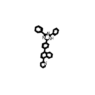 c1ccc(C2=NC(c3ccc(-c4ccc(-c5ccccn5)c5ccccc45)cc3)NC(c3ccccc3)=N2)cc1